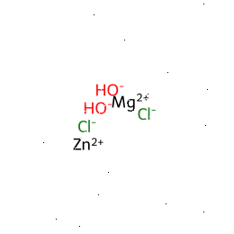 [Cl-].[Cl-].[Mg+2].[OH-].[OH-].[Zn+2]